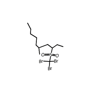 CCCCCC(C)CC(CC)S(=O)(=O)C(Br)(Br)Br